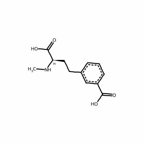 CN[C@H](CCc1cccc(C(=O)O)c1)C(=O)O